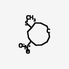 CSC1CCCCCCCCC([N+](=O)[O-])CC1